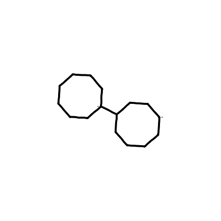 [CH]1CCCCC([C]2CCCCCCC2)CC1